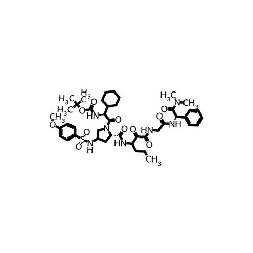 CCCC(NC(=O)[C@@H]1CC(NS(=O)(=O)c2ccc(OC)cc2)CN1C(=O)[C@@H](NC(=O)OC(C)(C)C)C1CCCCC1)C(=O)C(=O)NCC(=O)N[C@H](C(=O)N(C)C)c1ccccc1